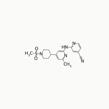 Cc1cc(C2CCN(S(C)(=O)=O)CC2)cc(Nc2cc(C#N)ccn2)n1